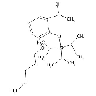 COCCCOc1cccc(C(C)O)c1O[Si](C(C)C)(C(C)C)C(C)C